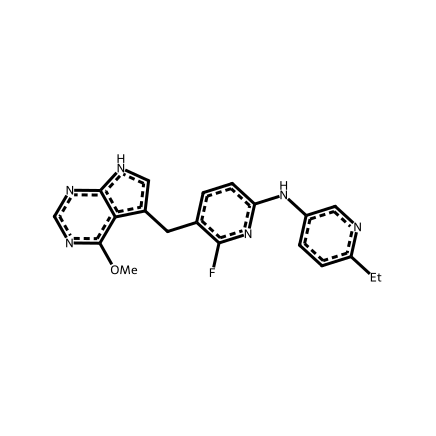 CCc1ccc(Nc2ccc(Cc3c[nH]c4ncnc(OC)c34)c(F)n2)cn1